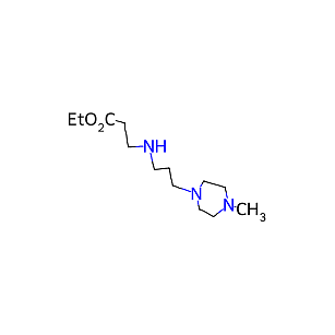 CCOC(=O)CCNCCCN1CCN(C)CC1